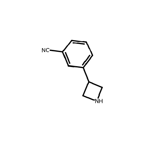 N#Cc1cccc(C2CNC2)c1